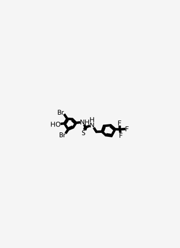 Oc1c(Br)cc(NC(=S)NCc2ccc(C(F)(F)F)cc2)cc1Br